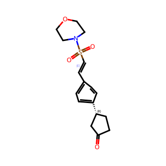 O=C1CC[C@@H](c2ccc(/C=C/S(=O)(=O)N3CCOCC3)cc2)C1